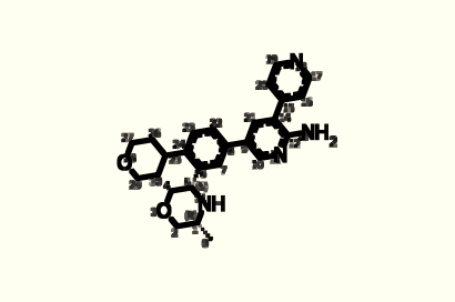 C[C@@H]1COC[C@H](c2cc(-c3cnc(N)c(-c4ccncc4)c3)ccc2C2CCOCC2)N1